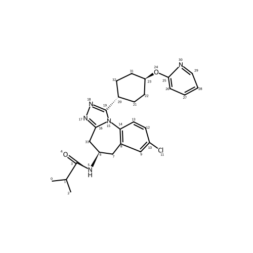 CC(C)C(=O)N[C@@H]1Cc2cc(Cl)ccc2-n2c(nnc2[C@H]2CC[C@H](Oc3ccccn3)CC2)C1